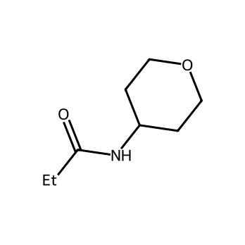 CCC(=O)NC1CCOCC1